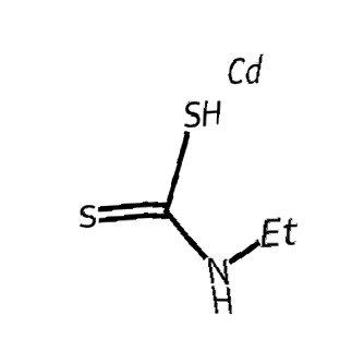 CCNC(=S)S.[Cd]